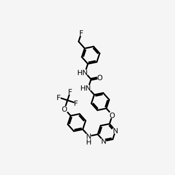 O=C(Nc1ccc(Oc2cc(Nc3ccc(OC(F)(F)F)cc3)ncn2)cc1)Nc1cccc(CF)c1